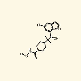 CCONC(=O)N1CCC(C(C)(C)[C@H](O)c2cc(Cl)cc3cn[nH]c23)CC1